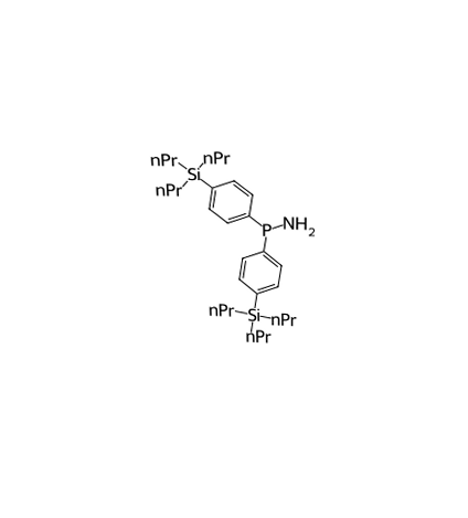 CCC[Si](CCC)(CCC)c1ccc(P(N)c2ccc([Si](CCC)(CCC)CCC)cc2)cc1